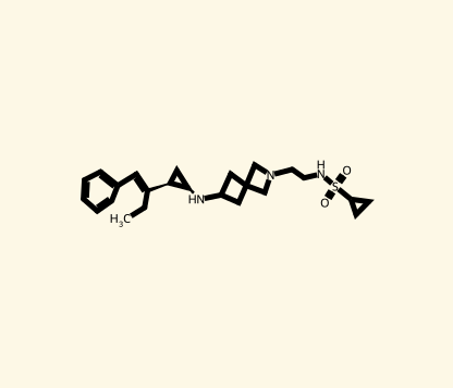 CC/C(=C\c1ccccc1)[C@H]1C[C@@H]1NC1CC2(C1)CN(CCNS(=O)(=O)C1CC1)C2